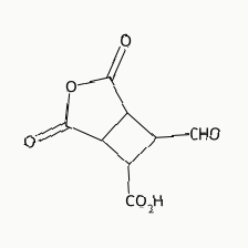 O=CC1C(C(=O)O)C2C(=O)OC(=O)C12